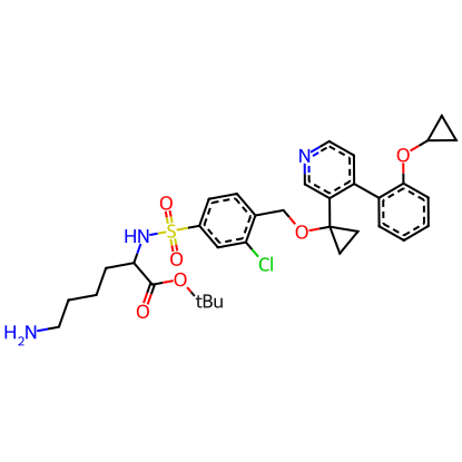 CC(C)(C)OC(=O)C(CCCCN)NS(=O)(=O)c1ccc(COC2(c3cnccc3-c3ccccc3OC3CC3)CC2)c(Cl)c1